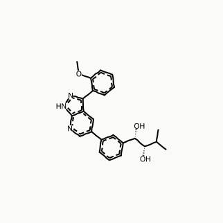 COc1ccccc1-c1n[nH]c2ncc(-c3cccc([C@H](O)[C@@H](O)C(C)C)c3)cc12